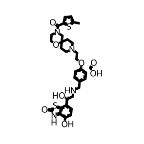 Cc1ccc(C(=O)N2CCOC3(CCN(CCOc4ccc(CNC[C@H](O)c5ccc(O)c6[nH]c(=O)sc56)cc4)CC3)C2)s1.O=CO